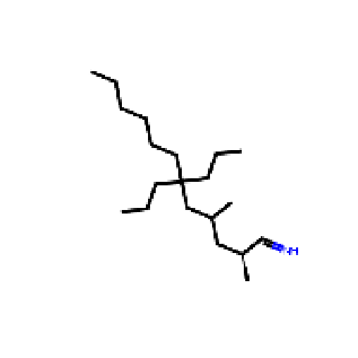 CCCCCCC(CCC)(CCC)CC(C)C[C@H](C)C=N